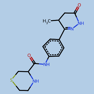 CC1CC(=O)NN=C1c1ccc(NC(=O)C2CSCCN2)cc1